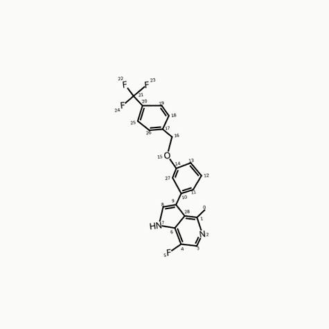 Cc1ncc(F)c2[nH]cc(-c3cccc(OCc4ccc(C(F)(F)F)cc4)c3)c12